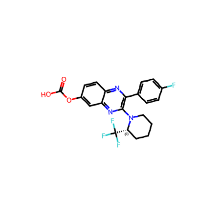 O=C(O)Oc1ccc2nc(-c3ccc(F)cc3)c(N3CCCC[C@@H]3C(F)(F)F)nc2c1